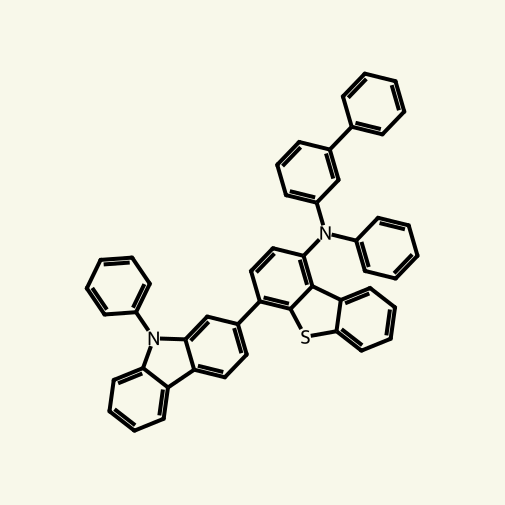 c1ccc(-c2cccc(N(c3ccccc3)c3ccc(-c4ccc5c6ccccc6n(-c6ccccc6)c5c4)c4sc5ccccc5c34)c2)cc1